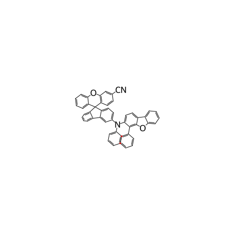 N#Cc1ccc2c(c1)Oc1ccccc1C21c2ccccc2-c2cc(N(c3ccccc3)c3ccc4c(oc5ccccc54)c3-c3ccccc3)ccc21